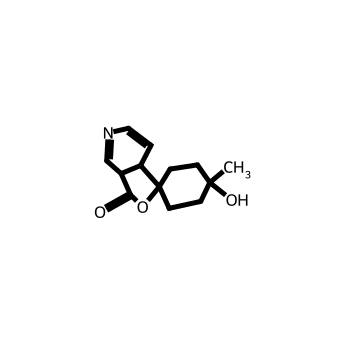 CC1(O)CCC2(CC1)OC(=O)C1C=NC=CC12